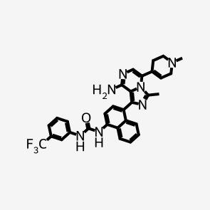 Cc1nc(-c2ccc(NC(=O)Nc3cccc(C(F)(F)F)c3)c3ccccc23)c2c(N)ncc(C3=CCN(C)CC3)n12